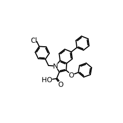 O=C(O)c1c(Oc2ccccc2)c2cc(-c3ccccc3)ccc2n1Cc1ccc(Cl)cc1